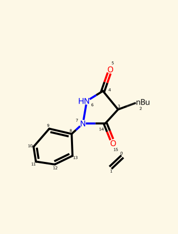 C=C.CCCCC1C(=O)NN(c2ccccc2)C1=O